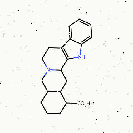 O=C(O)C1CCCC2CN3CCc4c([nH]c5ccccc45)C3CC21